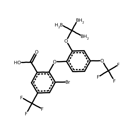 BC(B)(B)Oc1cc(OC(F)(F)F)ccc1Oc1c(Br)cc(C(F)(F)F)cc1C(=O)O